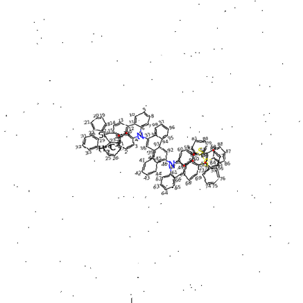 Cc1ccc(N(c2ccccc2-c2ccc([Si](c3ccccc3)(c3ccccc3)c3ccccc3)cc2)c2cc3c4ccccc4c(N(c4ccc(Sc5ccccc5)cc4)c4ccccc4-c4ccc(S(c5ccccc5)(c5ccccc5)c5ccccc5)cc4)cc3c3ccccc23)cc1